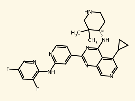 CC1(C)CNCC[C@@H]1Nc1nc(-c2ccnc(Nc3ncc(F)cc3F)c2)nc2cncc(C3CC3)c12